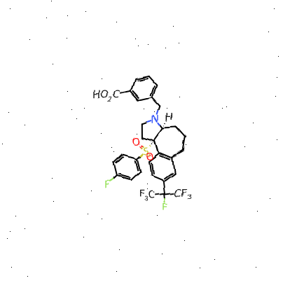 O=C(O)c1cccc(CN2CC[C@]3(S(=O)(=O)c4ccc(F)cc4)c4ccc(C(F)(C(F)(F)F)C(F)(F)F)cc4CCC[C@H]23)c1